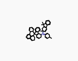 CC1C=CC(N(C2C=C(C3(c4ccccc4)C4=c5c(cccc5=CCC4)C4C=CC=CC43)C=CC2)C2(C)C=CC3=C(C2)C(C)(C)c2ccccc23)=CC1